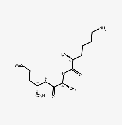 CSCC[C@H](NC(=O)[C@H](C)NC(=O)[C@@H](N)CCCCN)C(=O)O